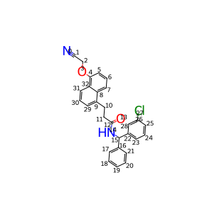 N#CCOc1cccc2c(CCC(=O)NC(c3ccccc3)c3cccc(Cl)c3)cccc12